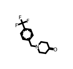 O=C1CCN(Cc2ccc(C(F)(F)F)cc2)CC1